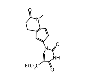 CCOC(=O)c1cn(-c2ccc3c(c2)CCC(=O)N3C)c(=O)[nH]c1=O